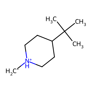 [CH2-][NH+]1CCC(C(C)(C)C)CC1